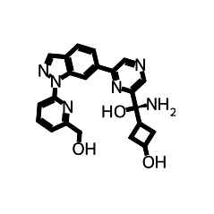 N[C@@](O)(c1cncc(-c2ccc3cnn(-c4cccc(CO)n4)c3c2)n1)C1CC(O)C1